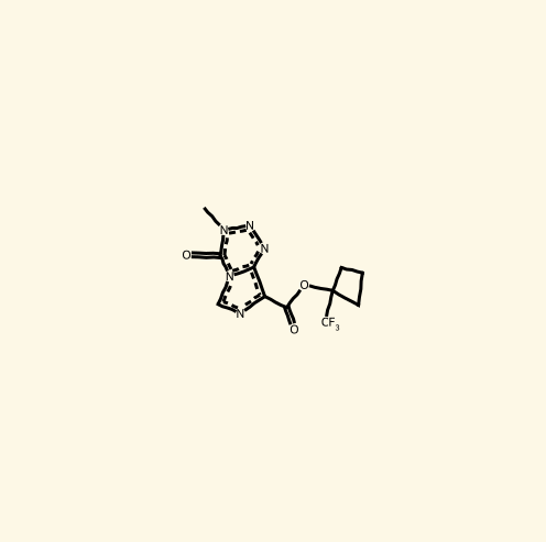 Cn1nnc2c(C(=O)OC3(C(F)(F)F)CCC3)ncn2c1=O